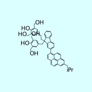 CC(C)Cc1cc2ccc3ccc(-c4ccc5c(c4)C(CCc4cc(CO)c(O)c(CO)c4)(Cc4cc(CO)c(O)c(CO)c4)c4ccccc4-5)c4ccc(c1)c2c34